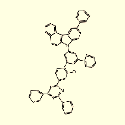 c1ccc(-c2ccc3c(c2)c2c4ccccc4ccc2n3-c2cc(-c3ccccc3)c3oc4cc(-c5nc(-c6ccccc6)nc(-c6ccccc6)n5)ccc4c3c2)cc1